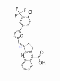 O=C(O)c1c2c(nc3ccccc13)/C(=C/c1ccc(-c3ccc(Cl)c(C(F)(F)F)c3)o1)CC2